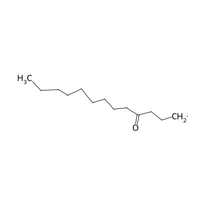 [CH2]CCC(=O)CCCCCCCCC